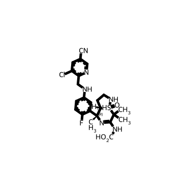 CC1(C)C(NC(=O)O)=N[C@](C)(c2cc(NCc3ncc(C#N)cc3Cl)ccc2F)[C@@H]2CCN[SH]21=O